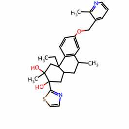 CCC12CC(C)(O)C(O)(c3nccs3)CC1CC(C)c1cc(OCc3cccnc3C)ccc12